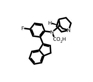 O=C(O)N(c1ccc(F)cc1C1=CCc2ccccc21)[C@H]1CN2CCC1CC2